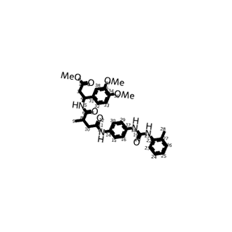 COC(=O)CC(NC(=O)C(C)CC(=O)Nc1ccc(NC(=O)Nc2ccccc2C)cc1)c1ccc(OC)c(OC)c1